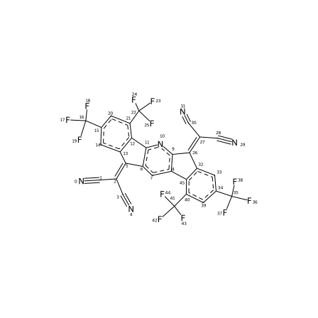 N#CC(C#N)=C1c2cc3c(nc2-c2c1cc(C(F)(F)F)cc2C(F)(F)F)C(=C(C#N)C#N)c1cc(C(F)(F)F)cc(C(F)(F)F)c1-3